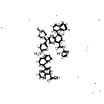 CN1CCN(Cc2ccc(N)nc2)CC1.O=C(Nc1ncc[nH]1)c1ccc(-c2cccc3ccccc23)c2nccnc12.O=C(O)c1ccc(-c2cccc3ccccc23)c2nccnc12